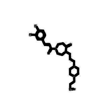 COCCN1CCN(CCCN2CCN(C(=O)C=Cc3ccc(Cl)c(Cl)c3)CCC2=O)CC1